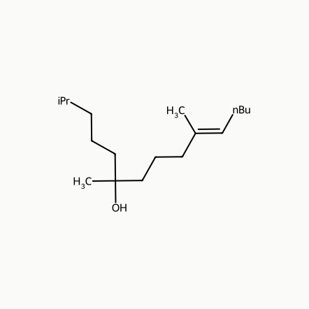 CCCC/C=C(\C)CCCC(C)(O)CCCC(C)C